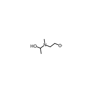 CC(O)N(C)CC[O]